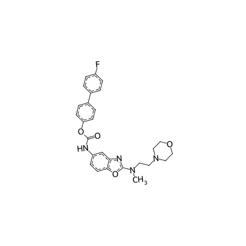 CN(CCN1CCOCC1)c1nc2cc(NC(=O)Oc3ccc(-c4ccc(F)cc4)cc3)ccc2o1